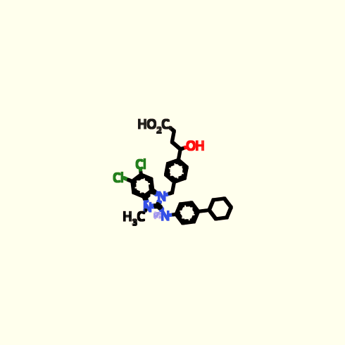 Cn1/c(=N/c2ccc(C3CCCCC3)cc2)n(Cc2ccc(C(O)CCC(=O)O)cc2)c2cc(Cl)c(Cl)cc21